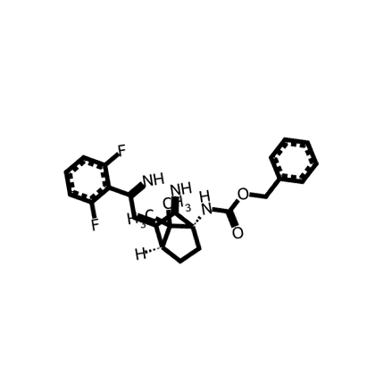 CC1(C)[C@H]2CC[C@]1(NC(=O)OCc1ccccc1)C(=N)/C2=C\C(=N)c1c(F)cccc1F